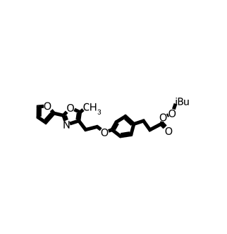 CCC(C)OOC(=O)CCc1ccc(OCCc2nc(-c3ccco3)oc2C)cc1